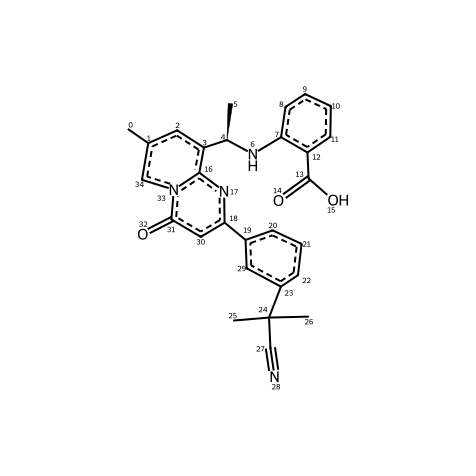 Cc1cc([C@@H](C)Nc2ccccc2C(=O)O)c2nc(-c3cccc(C(C)(C)C#N)c3)cc(=O)n2c1